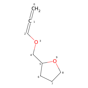 C=C=COCC1CCCO1